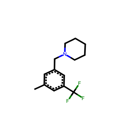 Cc1cc(CN2CCCCC2)cc(C(F)(F)F)c1